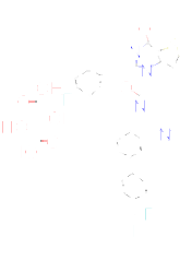 CCN(CC)CCN(Cc1ccc(-c2ccc(C(F)(F)F)cc2)cc1)C(=O)Cn1c(CCc2ccc(F)cc2)nc(=O)c2sccc21.O=C(O)C(O)C(O)C(=O)O